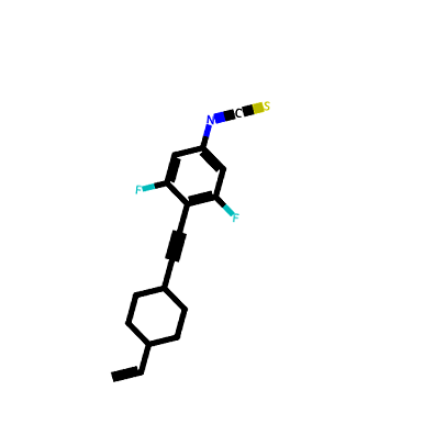 C=CC1CCC(C#Cc2c(F)cc(N=C=S)cc2F)CC1